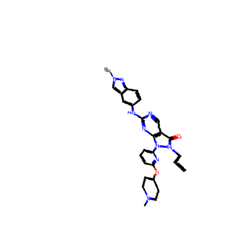 C=CCn1c(=O)c2cnc(Nc3ccc4nn(C(C)(C)C)cc4c3)nc2n1-c1cccc(OC2CCN(C)CC2)n1